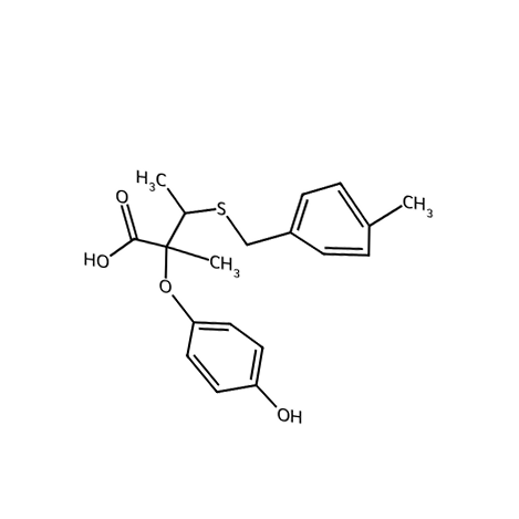 Cc1ccc(CSC(C)C(C)(Oc2ccc(O)cc2)C(=O)O)cc1